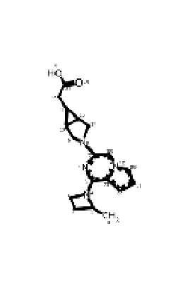 CC1CCN1c1nc(N2CC3C(CC(=O)O)C3C2)cn2cccc12